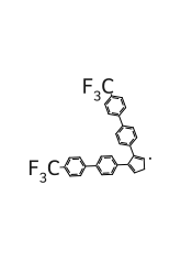 FC(F)(F)c1ccc(-c2ccc(C3=[C]CC=C3c3ccc(-c4ccc(C(F)(F)F)cc4)cc3)cc2)cc1